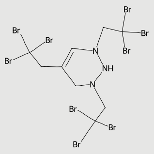 BrC(Br)(Br)CC1=CN(CC(Br)(Br)Br)NN(CC(Br)(Br)Br)C1